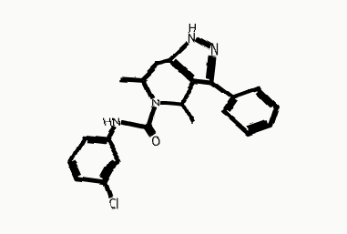 CC1Cc2[nH]nc(-c3ccccc3)c2C(C)N1C(=O)Nc1cccc(Cl)c1